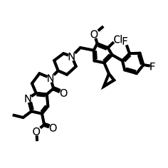 CCc1nc2c(cc1C(=O)OC)C(=O)N(C1CCN(Cc3cc(C4CC4)c(-c4ccc(F)cc4F)c(Cl)c3OC)CC1)CC2